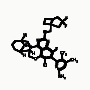 Cc1cc(N)nc(-c2c(Cl)c3c4c(nc(OC[C@@]56CCN5CC(F)(F)C6)nc4c2F)N2C[C@H]4CCC[C@H](N4)[C@H]2CO3)c1C(F)(F)F